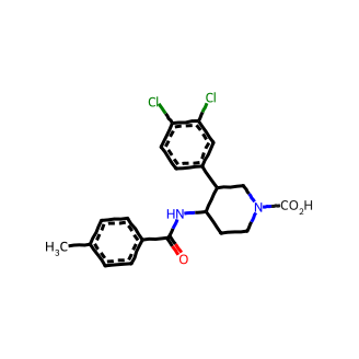 Cc1ccc(C(=O)NC2CCN(C(=O)O)CC2c2ccc(Cl)c(Cl)c2)cc1